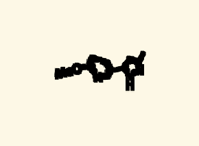 COc1ccc(-c2cc(C)n[nH]2)cn1